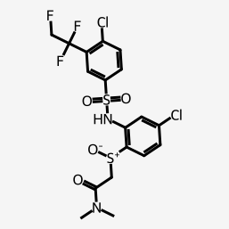 CN(C)C(=O)C[S+]([O-])c1ccc(Cl)cc1NS(=O)(=O)c1ccc(Cl)c(C(F)(F)CF)c1